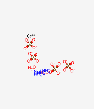 O.O.O=S(=O)([O-])[O-].O=S(=O)([O-])[O-].O=S(=O)([O-])[O-].O=S(=O)([O-])[O-].[Ce+4].[NH4+].[NH4+].[NH4+].[NH4+]